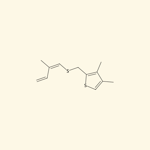 C=C/C(C)=C\SCc1scc(C)c1C